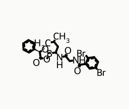 CC(C)CC(NC(=O)CNC(=O)c1cc(Br)ccc1Br)B1OC(=O)[C@@H](c2ccccc2)O1